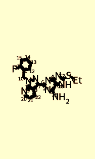 CCSc1nc2nc(-c3nn(Cc4ccccc4F)c4ncccc34)nc(N)c2[nH]1